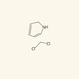 C1=CCNC=C1.ClCCl